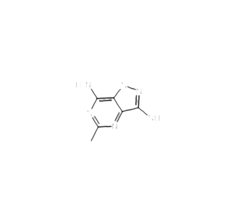 Cc1nc(N)c2[nH]nc(N)c2n1